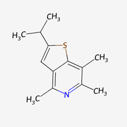 Cc1nc(C)c2cc(C(C)C)sc2c1C